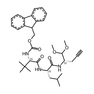 C#CC[C@H](NC(=O)[C@H](CC(C)C)NC(=O)[C@@H](NC(=O)OCC1c2ccccc2-c2ccccc21)C(C)(C)C)C(OC)OC